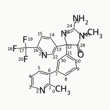 Cc1ncccc1-c1cccc(C2(c3ccc(C(F)(F)F)nc3)N=C(N)N(C)C2=O)c1